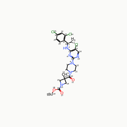 C[C@@H](Nc1nc(N2CCN(C(=O)C3(C)CN(C(=O)OC(C)(C)C)C3)CC2)ncc1Cl)c1ccc(Cl)cc1Cl